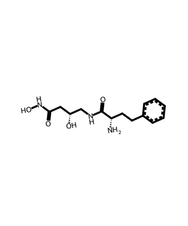 N[C@@H](CCc1ccccc1)C(=O)NC[C@H](O)CC(=O)NO